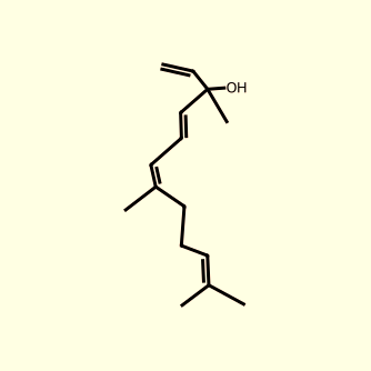 C=CC(C)(O)C=CC=C(C)CCC=C(C)C